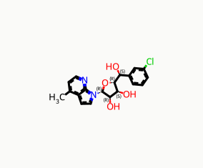 Cc1ccnc2c1ccn2[C@@H]1O[C@H]([C@@H](O)c2cccc(Cl)c2)[C@@H](O)[C@H]1O